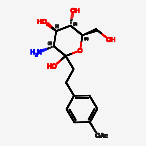 CC(=O)Oc1ccc(CCC2(O)O[C@H](CO)[C@@H](O)[C@H](O)[C@H]2N)cc1